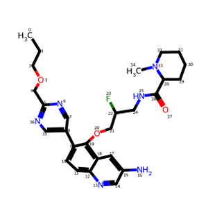 CCCOCc1ncc(-c2ccc3ncc(N)cc3c2OCC(F)CNC(=O)C2CCCCN2C)cn1